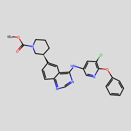 CC(C)(C)OC(=O)N1CCC[C@@H](c2ccc3ncnc(Nc4cnc(Oc5ccccc5)c(Cl)c4)c3c2)C1